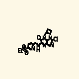 CCS(=O)(=O)c1ccc(CNc2nc3cnc(Cl)nc3n(CC3CCC3)c2=O)nc1